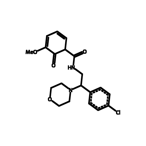 COC1=CC=CC(C(=O)NCC(c2ccc(Cl)cc2)N2CCOCC2)C1=O